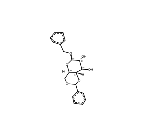 O[C@@H]1[C@@H](O)[C@H](OCc2ccccc2)O[C@@H]2COC(c3ccccc3)O[C@@H]12